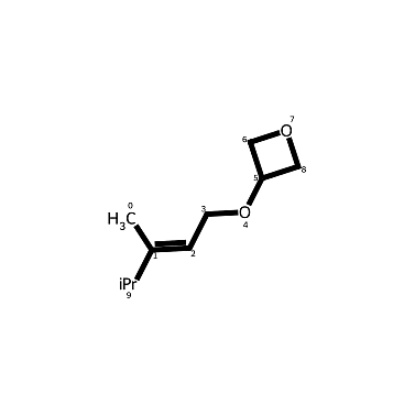 CC(=CCOC1COC1)C(C)C